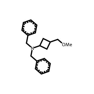 COCC1CC(N(Cc2ccccc2)Cc2ccccc2)C1